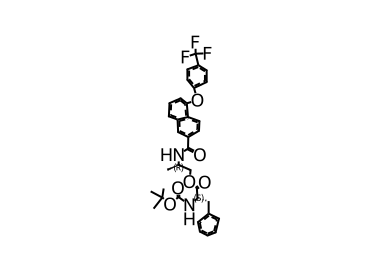 C[C@H](COC(=O)[C@H](Cc1ccccc1)NC(=O)OC(C)(C)C)NC(=O)c1ccc2c(Oc3ccc(C(F)(F)F)cc3)cccc2c1